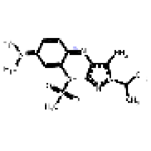 CC(C)n1ncc(/N=C2/C=CC(=[N+](C)C)C=C2NS(C)(=O)=O)c1N